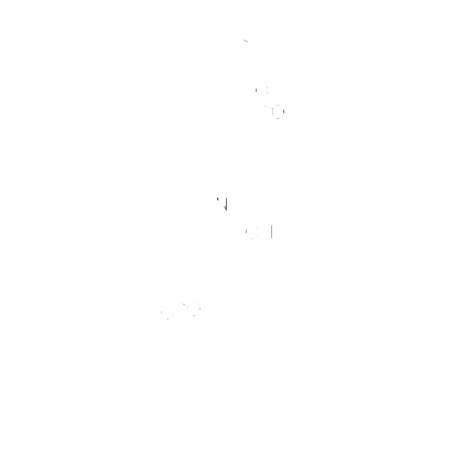 CCCC/C=C\CCC(CCCCCCCC)OC(=O)CCCCCCCN(CCO)CCCCCCCC(=O)OCCCCCCCCC